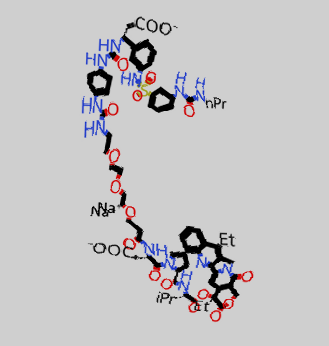 CCCNC(=O)Nc1cccc(S(=O)(=O)Nc2cccc([C@@H](CC(=O)[O-])NC(=O)Nc3ccc(NC(=O)NCCOCCOCCOCCC(=O)N[C@@H](CC(=O)[O-])C(=O)N4CCC[C@H]4C(=O)N[C@H](C(=O)O[C@]4(CC)C(=O)OCc5c4cc4n(c5=O)Cc5c-4nc4ccccc4c5CC)C(C)C)cc3)c2)c1.[Na+].[Na+]